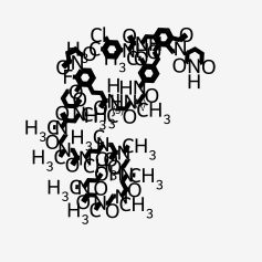 COc1cc(NC(=O)[C@H](C)NC(=O)[C@H](C)NC(=O)CCc2ccc(N3C(=O)C=CC3=O)c(F)c2OCCCC(=O)N(C)CC(=O)N(C)CC(=O)N(C)CC(=O)N(C)CC(=O)N(C)CC(=O)N(C)CC(=O)N(C)CC(=O)N(C)CC(=O)N(C)CC(=O)N(C)CC(=O)O)ccc1COc1c(CNC(=O)Nc2ccc(C)c(Cl)c2)ccc2c1CN(C1CCC(=O)NC1=O)C2=O